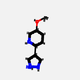 CC(C)Oc1ccc(-c2cn[nH]c2)nc1